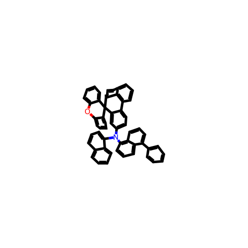 c1ccc(-c2cccc3c(N(c4ccc5c(c4)C4(c6ccccc6Oc6ccccc64)c4cccc6cccc-5c46)c4cccc5ccccc45)cccc23)cc1